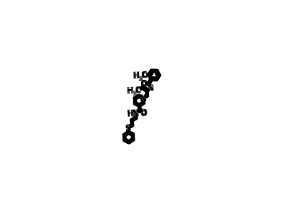 Cc1ccccc1-c1nc(CN2CCCC(C(=O)NCCCSC3CCCCC3)C2)c(C)o1